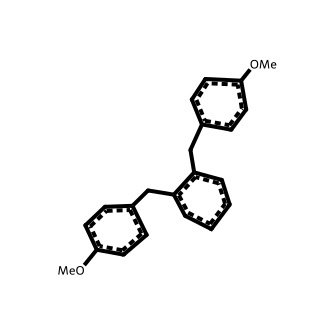 COc1ccc(Cc2ccccc2Cc2ccc(OC)cc2)cc1